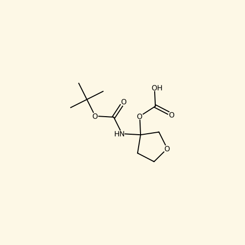 CC(C)(C)OC(=O)NC1(OC(=O)O)CCOC1